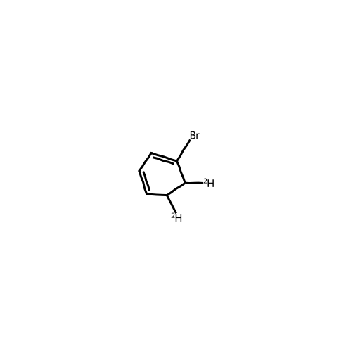 [2H]C1C=CC=C(Br)C1[2H]